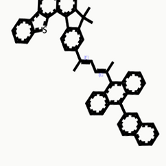 C/C(=C\C=C(/C)c1c2ccccc2c(-c2ccc3ccccc3c2)c2ccccc12)c1ccc2c(c1)C(C)(C)c1ccc3ccc4c5ccccc5sc4c3c1-2